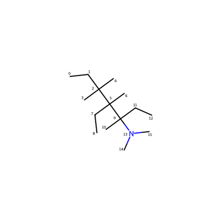 CCC(C)(C)C(C)(CC)C(C)(CC)N(C)C